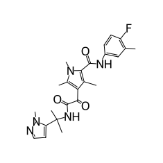 Cc1cc(NC(=O)c2c(C)c(C(=O)C(=O)NC(C)(C)c3ccnn3C)c(C)n2C)ccc1F